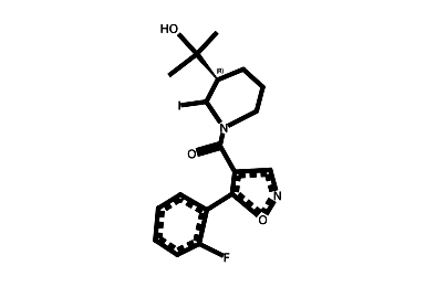 CC(C)(O)[C@H]1CCCN(C(=O)c2cnoc2-c2ccccc2F)C1I